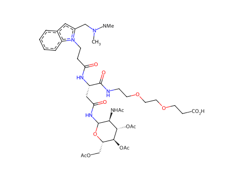 CNN(C)Cc1cc2ccccc2n1CCC(=O)N[C@@H](CC(=O)NC1O[C@@H](COC(C)=O)[C@H](OC(C)=O)[C@@H](OC(C)=O)[C@@H]1NC(C)=O)C(=O)NCCOCCOCCC(=O)O